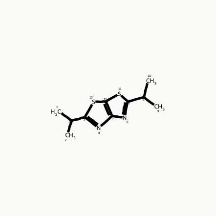 CC(C)c1nc2nc(C(C)C)sc2s1